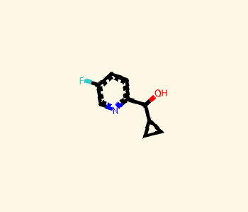 OC(c1ccc(F)cn1)C1CC1